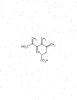 C=C(CCC(=O)O)C(=C)C(=C)C(=C)C(=O)O